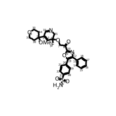 COC1(C2=CC(F)(OCC(=O)c3nc(-c4ccccc4)c(-c4ccc(S(N)(=O)=O)cc4)o3)CN=C2)CCOCC1